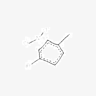 [CH2]c1ccc(C(C)C)cc1.[Cl][Mg][Cl]